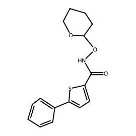 O=C(NOC1CCCCO1)c1ccc(-c2ccccc2)s1